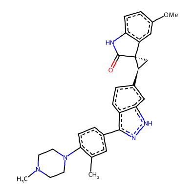 COc1ccc2c(c1)[C@]1(C[C@H]1c1ccc3c(-c4ccc(N5CCN(C)CC5)c(C)c4)n[nH]c3c1)C(=O)N2